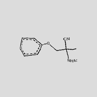 CC(=O)NC(C)(C#N)COc1ccccc1